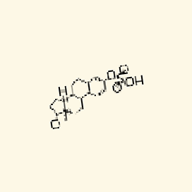 C[C@]12CCC3c4ccc(OS(=O)(=O)O)cc4CCC3[C@@H]1CCC2=O